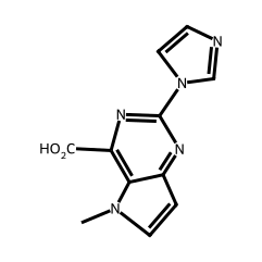 Cn1ccc2nc(-n3ccnc3)nc(C(=O)O)c21